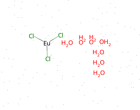 O.O.O.O.O.O.O.[Cl][Eu]([Cl])[Cl]